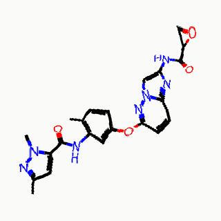 Cc1cc(C(=O)Nc2cc(Oc3ccc4nc(NC(=O)C5CO5)cn4n3)ccc2C)n(C)n1